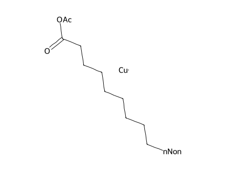 CCCCCCCCCCCCCCCCCC(=O)OC(C)=O.[Cu]